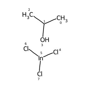 CC(C)O.[Cl][In]([Cl])[Cl]